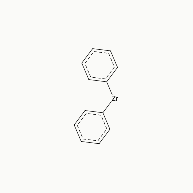 c1cc[c]([Zr][c]2ccccc2)cc1